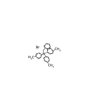 Cc1ccc([N+](Cc2ccccc2)(c2ccc(C)cc2)c2ccc(C)cc2)cc1.[Br-]